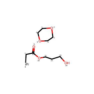 C1COCCO1.CC(C)CC(=O)OCCCO